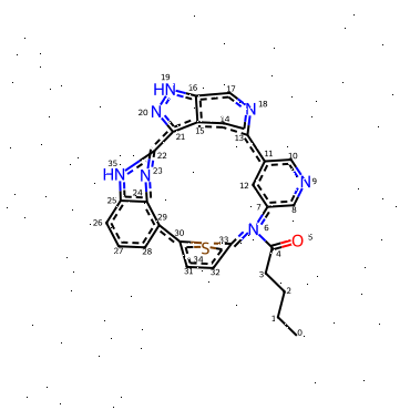 CCCCC(=O)n1c2cncc(c2)c2cc3c(cn2)[nH]nc3c2nc3c(cccc3c3ccc1s3)[nH]2